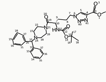 COC(=O)c1cn(CCC[C@H](NC(=O)OC(C)(C)C)C(=O)N2CCN(C(c3ccccc3)c3ccccc3)CC2)nn1